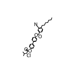 CCCCCCCc1ccc(C(=O)Oc2ccc(-c3ccc(OC(=O)C(Cl)C(C)C)cc3)cc2)cc1C#N